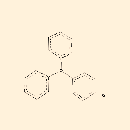 [P].c1ccc(P(c2ccccc2)c2ccccc2)cc1